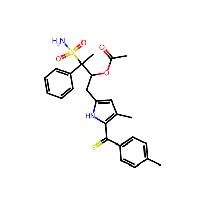 CC(=O)OC(Cc1cc(C)c(C(=S)c2ccc(C)cc2)[nH]1)C(C)(c1ccccc1)S(N)(=O)=O